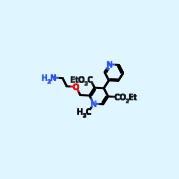 CCOC(=O)C1=CN(C)C(COCCN)=C(C(=O)OCC)C1c1cccnc1